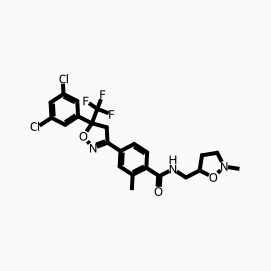 Cc1cc(C2=NOC(c3cc(Cl)cc(Cl)c3)(C(F)(F)F)C2)ccc1C(=O)NCC1CCN(C)O1